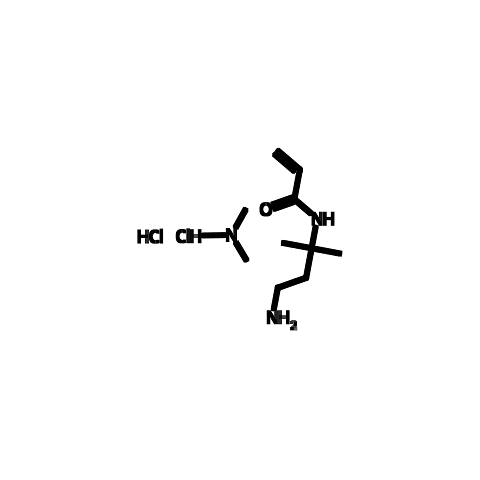 C=CC(=O)NC(C)(C)CCN.CN(C)C.Cl.Cl